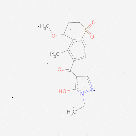 CCn1ncc(C(=O)c2ccc3c(c2C)C(OC)CCS3(=O)=O)c1O